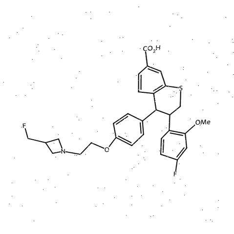 COc1cc(F)ccc1C1CSc2cc(C(=O)O)ccc2C1c1ccc(OCCN2CC(CF)C2)cc1